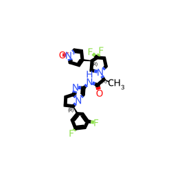 C[C@H](C(=O)Nc1cn2c(n1)CC[C@@H]2c1cc(F)cc(F)c1)N1CCC(F)(F)[C@H](c2cc[n+]([O-])cc2)C1